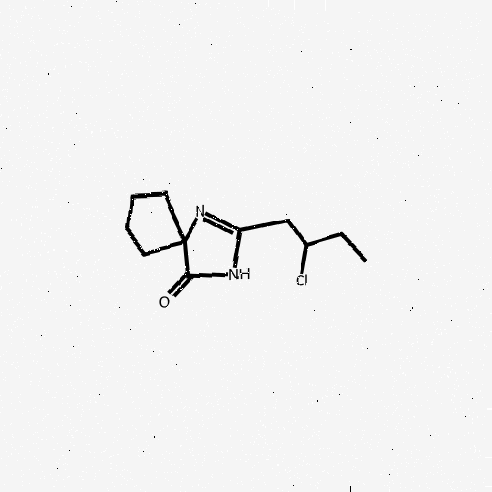 CCC(Cl)CC1=NC2(CCCC2)C(=O)N1